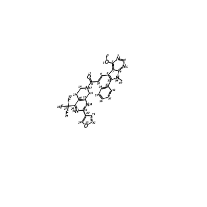 COc1ncnc2c1c(/C=C/C(=O)N1CCc3c(nc(-c4ccoc4)nc3C(F)(F)F)C1)c(-c1ccccc1)n2C